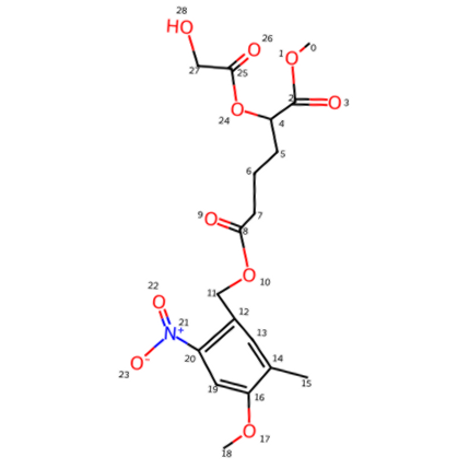 COC(=O)C(CCCC(=O)OCc1cc(C)c(OC)cc1[N+](=O)[O-])OC(=O)CO